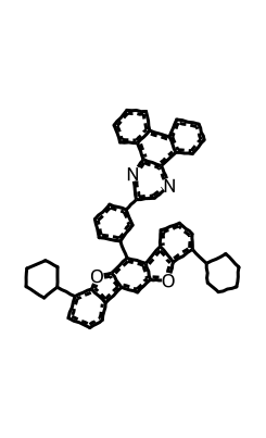 c1cc(-c2cnc3c4ccccc4c4ccccc4c3n2)cc(-c2c3oc4c(C5CCCCC5)cccc4c3cc3oc4c(C5CCCCC5)cccc4c23)c1